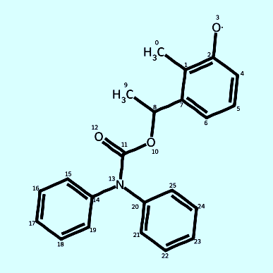 Cc1c([O])cccc1C(C)OC(=O)N(c1ccccc1)c1ccccc1